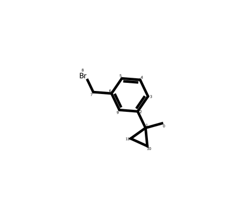 CC1(c2cccc(CBr)c2)CC1